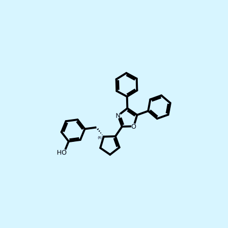 Oc1cccc(C[C@H]2CCC=C2c2nc(-c3ccccc3)c(-c3ccccc3)o2)c1